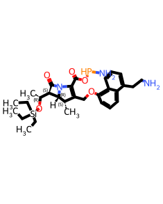 CC[Si](CC)(CC)O[C@H](C)[C@H]1C(=O)N2C(C(=O)OPN)=C(COc3cccc4c(CCN)cccc34)[C@H](C)[C@H]12